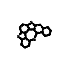 c1ccc2c(c1)cc1sc3ccc4sc5cccc6sc2c1c3c4c56